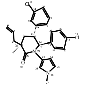 C=CC[C@@]1(C)C[C@H](c2cccc(Cl)c2)[C@@H](c2ccc(Cl)cc2)N(c2ccn(C)c2)C1=O